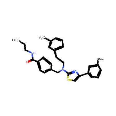 COc1cccc(-c2csc(N(CCc3cccc(C(F)(F)F)c3)Cc3ccc(C(=O)NCCC(=O)O)cc3)n2)c1